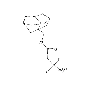 O=C(CC(F)(F)S(=O)(=O)O)OCC12CC3CC(CC(C3)C1)C2